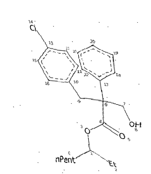 CCCCCC(CC)OC(=O)C(CO)(Cc1ccc(Cl)cc1)c1ccccc1